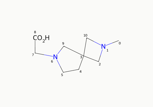 CN1CC2(CCN(CC(=O)O)C2)C1